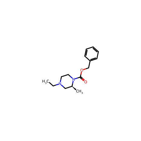 CCN1CCN(C(=O)OCc2ccccc2)[C@@H](C)C1